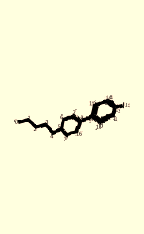 CCCCCC1CCC(c2ccc(I)cc2)CC1